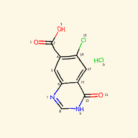 Cl.O=C(O)c1cc2nc[nH]c(=O)c2cc1Cl